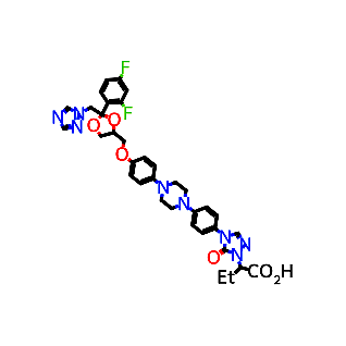 CCC(C(=O)O)n1ncn(-c2ccc(N3CCN(c4ccc(OCC5COC(Cn6cncn6)(c6ccc(F)cc6F)O5)cc4)CC3)cc2)c1=O